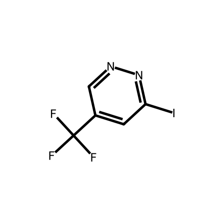 FC(F)(F)c1cnnc(I)c1